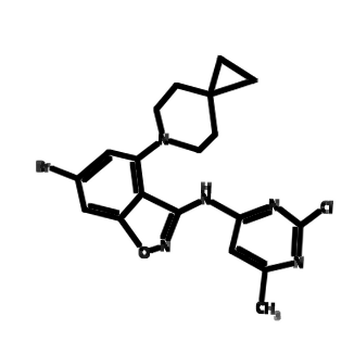 Cc1cc(Nc2noc3cc(Br)cc(N4CCC5(CC4)CC5)c23)nc(Cl)n1